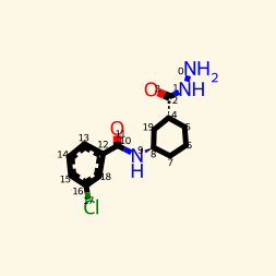 NNC(=O)[C@@H]1CCC[C@H](NC(=O)c2cccc(Cl)c2)C1